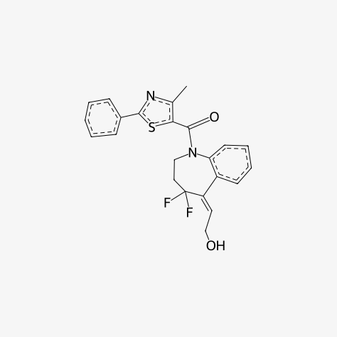 Cc1nc(-c2ccccc2)sc1C(=O)N1CCC(F)(F)/C(=C\CO)c2ccccc21